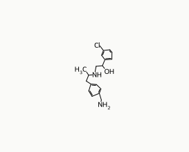 CC(Cc1ccc(CN)cc1)NCC(O)c1cccc(Cl)c1